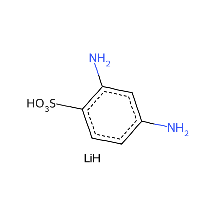 Nc1ccc(S(=O)(=O)O)c(N)c1.[LiH]